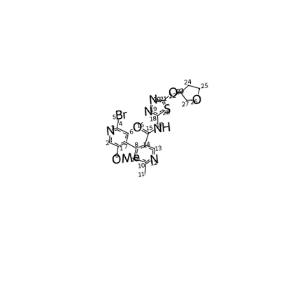 COc1cnc(Br)cc1-c1cc(C)ncc1C(=O)Nc1nnc(O[C@H]2CCOC2)s1